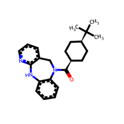 CC(C)(C)[C@H]1CC[C@@H](C(=O)N2Cc3cccnc3Nc3ccccc32)CC1